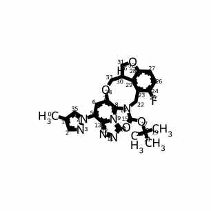 Cc1cnn(-c2cc3c(n4cnnc24)N(C(=O)OC(C)(C)C)Cc2c(F)ccc4c2[C@H](CO4)CO3)c1